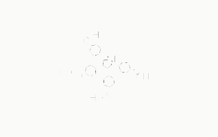 COc1ccc(-c2[nH]c(-c3ccc(OC)cc3)c(-c3ccc(OC)cc3)c2-c2ccc(OC)cc2)cc1